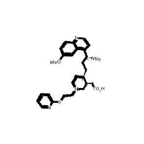 CN[C@H](CC[C@@H]1CCN(CCSc2ccccn2)C[C@@H]1CC(=O)O)c1ccnc2ccc(OC)cc12